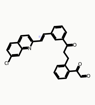 O=CC(=O)c1ccccc1CCC(=O)c1cccc(/C=C/c2ccc3ccc(Cl)cc3n2)c1